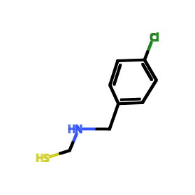 SCNCc1ccc(Cl)cc1